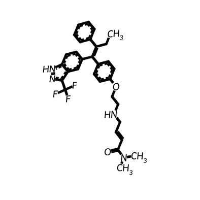 CCC(=C(c1ccc(OCCNCC=CC(=O)N(C)C)cc1)c1ccc2[nH]nc(C(F)(F)F)c2c1)c1ccccc1